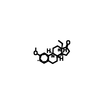 CC[C@]12CC[C@@H]3c4cc(OC)[c]cc4CC[C@H]3[C@@H]1CCC2=O